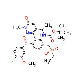 CCS(=O)(=O)Cc1ccc(C(=O)c2ccc(F)c(OC)c2)c(-c2nn(C)c(=O)cc2C(C)NC(=O)OC(C)(C)C)c1